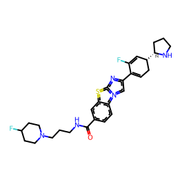 O=C(NCCCN1CCC(F)CC1)c1ccc2c(c1)sc1nc(C3=CCC([C@@H]4CCCN4)C=C3F)cn12